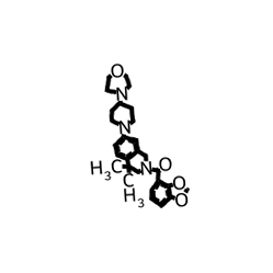 CC1(C)CN(C(=O)c2cccc3c2OCO3)Cc2cc(N3CCC(N4CCOCC4)CC3)ccc21